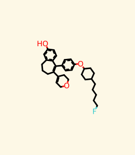 Oc1ccc2c(c1)CCCC(C1=CCOCC1)=C2c1ccc(OC2CCC(CCCCCF)CC2)cc1